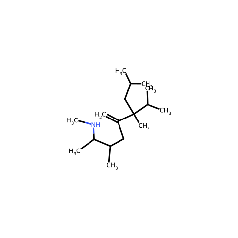 C=C(CC(C)C(C)NC)C(C)(CC(C)C)C(C)C